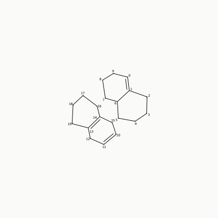 C1=C2CCCCC2CCC1.C1=CCC2=C(C1)CCCC2